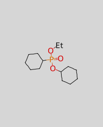 CCOP(=O)(OC1CCCCC1)C1CCCCC1